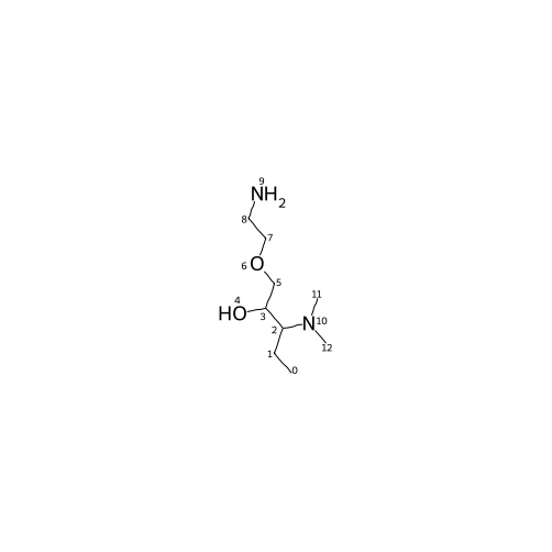 CCC(C(O)COCCN)N(C)C